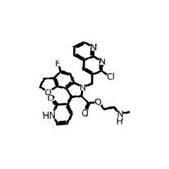 CNCCOC(=O)C1C(c2ccc[nH]c2=O)c2c(cc(F)c3c2OCC3)N1Cc1cc2cccnc2nc1Cl